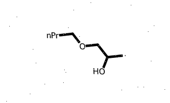 [CH2]C(O)COCCCC